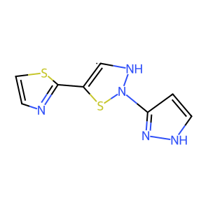 [C]1=C(c2nccs2)SN(c2cc[nH]n2)N1